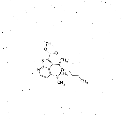 C=C(OCCCC)c1c(C(=O)OC)sc2nccc(N(C)C)c12